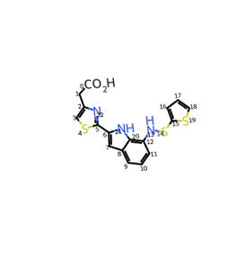 O=C(O)Cc1csc(-c2cc3cccc(NSc4cccs4)c3[nH]2)n1